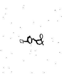 CC1(C)CC/C(=C\c2ccc(Cl)cc2)C1=O